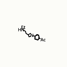 CCNCCC1CN(c2ccc(C(C)=O)cc2)C1